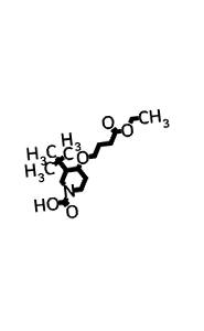 CCOC(=O)CCCOC1CCN(C(=O)O)CC1C(C)(C)C